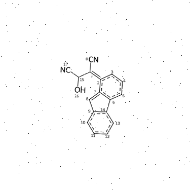 N#CC(=c1cccc2c1=Cc1ccccc1-2)C(O)C#N